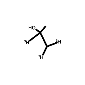 [3H]C([3H])C([3H])(C)O